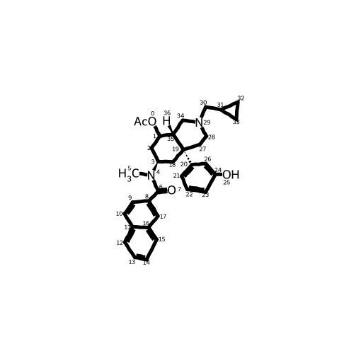 CC(=O)OC1C[C@H](N(C)C(=O)c2ccc3ccccc3c2)C[C@]2(c3cccc(O)c3)CCN(CC3CC3)C[C@@H]12